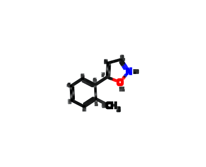 Cc1ccccc1-c1c[c]no1